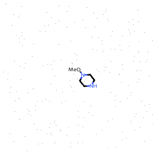 CON1CCNCC1